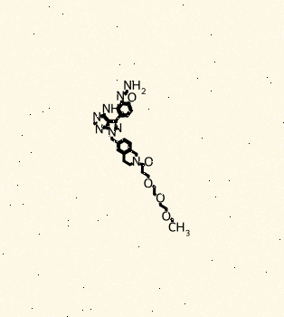 CCOCCOCCOCCC(=O)N1CCc2cc(Cn3nc(-c4ccc5oc(N)nc5c4)c4c(N)ncnc43)ccc2C1